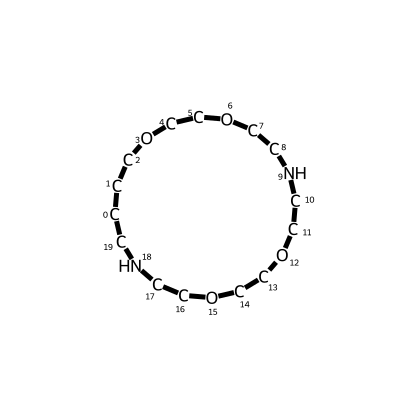 C1CCOCCOCCNCCOCCOCCNC1